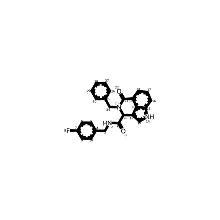 O=C(NCc1ccc(F)cc1)C1c2c[nH]c3cccc(c23)C(=O)N1Cc1ccccc1